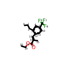 CCCc1cc(C(F)(F)F)ccc1/C=C(\C)C(=O)OCC